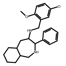 COc1ccc(Cl)cc1CNC1CC2CCCCC2CNC1c1ccccc1